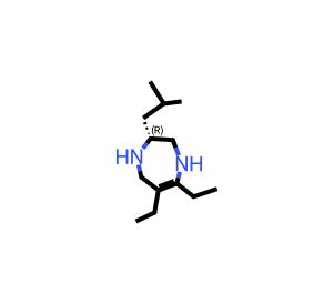 CCC1=C(CC)NC[C@@H](CC(C)C)NC1